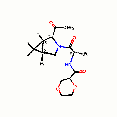 COC(=O)[C@@H]1[C@@H]2[C@H](CN1C(=O)[C@@H](NC(=O)C1COCCO1)C(C)(C)C)C2(C)C